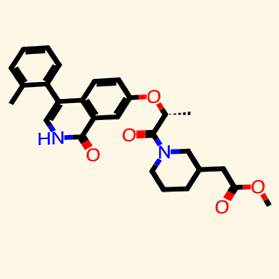 COC(=O)CC1CCCN(C(=O)[C@@H](C)Oc2ccc3c(-c4ccccc4C)c[nH]c(=O)c3c2)C1